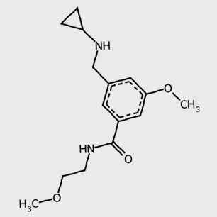 COCCNC(=O)c1cc(CNC2CC2)cc(OC)c1